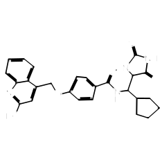 Cc1cc(COc2ccc(C(=O)NC(C3CCCC3)C3NC(=O)NC3=O)cc2)c2ccccc2n1